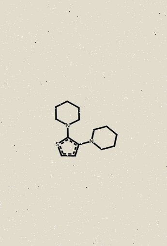 c1cc(N2CCCCC2)c(N2CCCCC2)s1